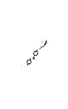 Cc1ccc(OC(=O)c2ccc(OCCCC(F)(F)C(F)(F)F)cc2)cc1